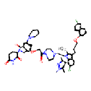 Cc1nn(C)c(C)c1-c1c(Cl)ccc2c(CCCOc3cccc4cc(F)ccc34)c(C(=O)O)n(CCN3CCN(C(=O)COc4cc(N5CCCCC5)cc5c4CN(C4CCC(=O)NC4=O)C5=O)CC3)c12